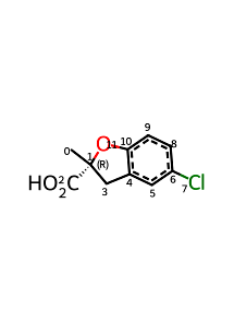 C[C@]1(C(=O)O)Cc2cc(Cl)ccc2O1